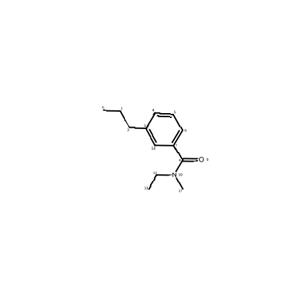 CCCc1cccc(C(=O)N(C)CC)c1